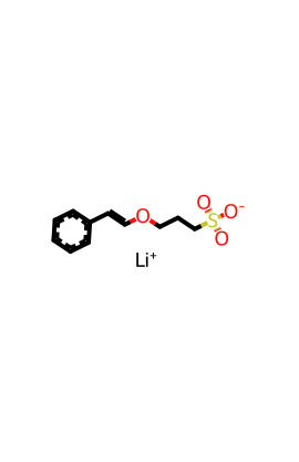 O=S(=O)([O-])CCCOC=Cc1ccccc1.[Li+]